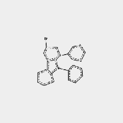 Brc1cc(-c2cccnc2)c2c(c1)c1ccccc1n2-c1ccccc1